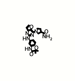 CC1(C)Oc2ccc(Nc3nc(N4CCC(C(N)=O)C4)c4occc4n3)cc2NC1=O